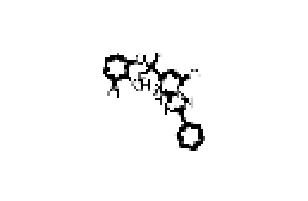 Cc1c(Cl)cccc1OC(F)(F)c1cc(=O)n2nc(-c3ccccc3)nc2[nH]1